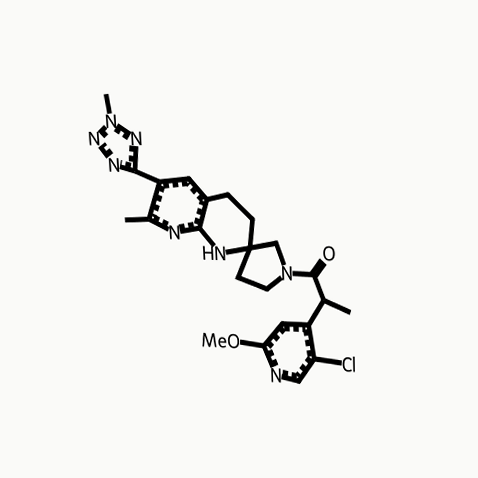 COc1cc(C(C)C(=O)N2CCC3(CCc4cc(-c5nnn(C)n5)c(C)nc4N3)C2)c(Cl)cn1